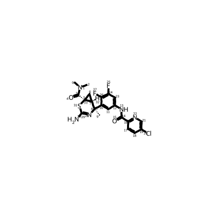 CN(C)C(=O)[C@]12C[C@H]1[C@@](C)(c1cc(NC(=O)c3ccc(Cl)cn3)cc(F)c1F)N=C(N)S2